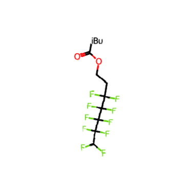 CCC(C)C(=O)OCCC(F)(F)C(F)(F)C(F)(F)C(F)(F)C(F)F